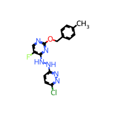 Cc1ccc(COc2ncc(F)c(NNc3ccc(Cl)nn3)n2)cc1